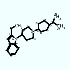 CCc1cc2ccccc2n1C1CCN(C2CCC(C(C)C)CC2)CC1